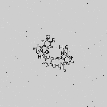 CCn1nc(C#Cc2cc(NC(=O)N3OCC[C@@H]3c3ccc(F)c(Cl)c3)ccc2C)c2c(N)ncnc21